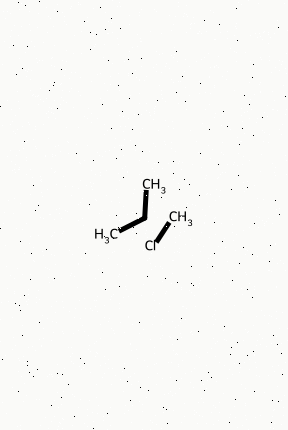 CCC.CCl